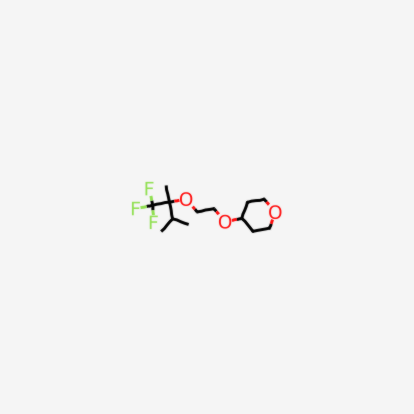 CC(C)C(C)(OCCOC1CCOCC1)C(F)(F)F